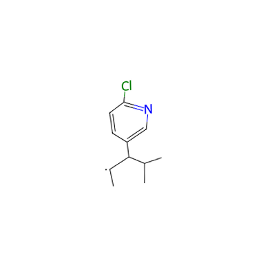 C[CH]C(c1ccc(Cl)nc1)C(C)C